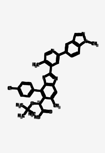 Cc1cnc(-c2ccc3c(cnn3C)c2)cc1-c1nc2cc(C)c([C@H](OC(C)(C)C)C(=O)O)c(-c3ccc(Cl)cc3)c2s1